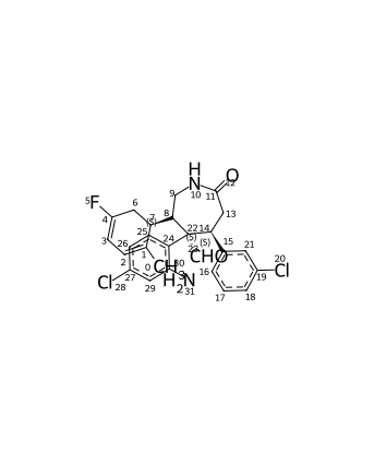 CC1=CC=C(F)C[C@H]1C1CNC(=O)C[C@@H](c2cccc(Cl)c2)[C@@]1(C=O)c1ccc(Cl)cc1N